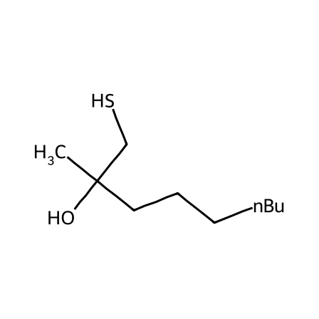 CCCCCCCC(C)(O)CS